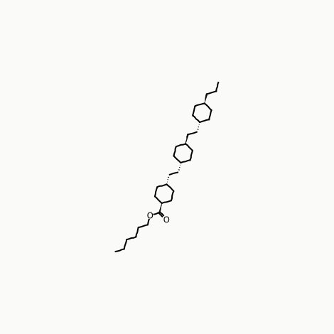 CCCCCCOC(=O)[C@H]1CC[C@H](CC[C@H]2CC[C@H](CC[C@H]3CC[C@H](CCC)CC3)CC2)CC1